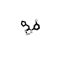 O/N=C(/CC1CCCC1)Nc1cccc(Cl)c1